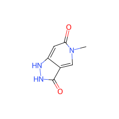 Cn1cc2c(=O)[nH][nH]c2cc1=O